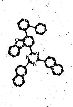 c1ccc(-c2ccccc2-c2ccc(-c3nc(-c4ccc5ccccc5c4)nc(-c4ccc5ccccc5c4)n3)c3c2oc2ccccc23)cc1